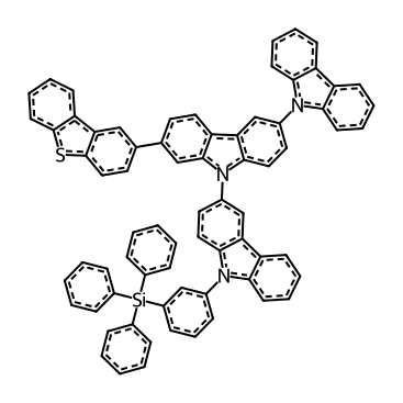 c1ccc([Si](c2ccccc2)(c2ccccc2)c2cccc(-n3c4ccccc4c4cc(-n5c6ccc(-n7c8ccccc8c8ccccc87)cc6c6ccc(-c7ccc8sc9ccccc9c8c7)cc65)ccc43)c2)cc1